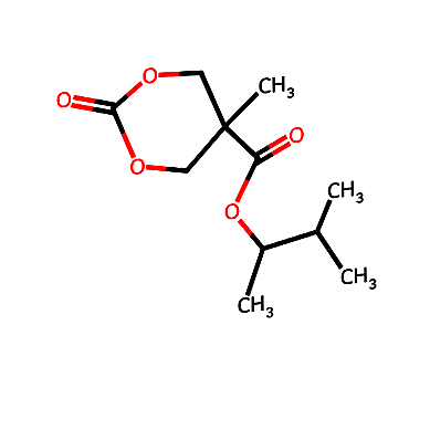 CC(C)C(C)OC(=O)C1(C)COC(=O)OC1